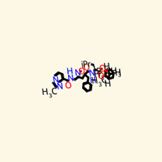 Cc1cn2cccc(C(=O)NCC3=NOC(Cc4ccccc4)(C(=O)N[C@@H](CC(C)C)B4O[C@@H]5C[C@@H]6C[C@@H](C6(C)C)[C@]5(C)O4)C3)c2n1